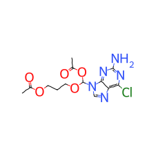 CC(=O)OCCCOC(OC(C)=O)n1cnc2c(Cl)nc(N)nc21